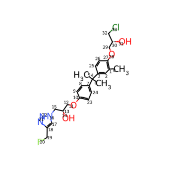 Cc1cc(C(C)(C)c2ccc(OC[C@@H](O)Cn3cc(CF)nn3)cc2)ccc1OC[C@H](O)CCl